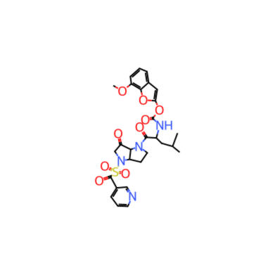 COc1cccc2cc(OC(=O)NC(CC(C)C)C(=O)N3CCC4C3C(=O)CN4S(=O)(=O)C(=O)c3cccnc3)oc12